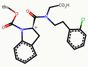 CC(C)(C)OC(=O)N1c2ccccc2C[C@@H]1C(=O)N(CCc1ccccc1Cl)CC(=O)O